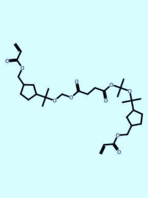 C=CC(=O)OCC1CCC(C(C)(C)OCOC(=O)CCC(=O)OC(C)(C)OC(C)(C)C2CCC(COC(=O)C=C)C2)C1